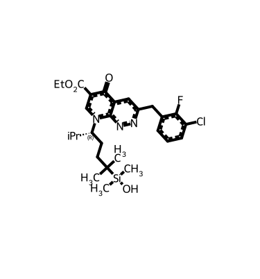 CCOC(=O)c1cn([C@H](CCC(C)(C)[Si](C)(C)O)C(C)C)c2nnc(Cc3cccc(Cl)c3F)cc2c1=O